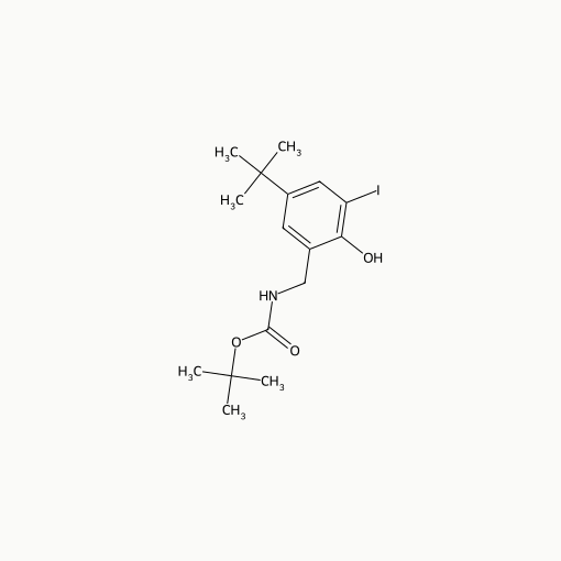 CC(C)(C)OC(=O)NCc1cc(C(C)(C)C)cc(I)c1O